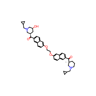 C[C@]1(C(=O)c2ccc3cc(OCCOc4ccc5cc(C(=O)[C@@H]6C[C@H](O)CN(CC7CC7)C6)ccc5c4)ccc3c2)CCCN(CC2CC2)C1